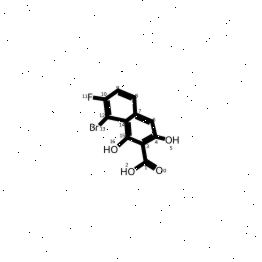 O=C(O)c1c(O)cc2ccc(F)c(Br)c2c1O